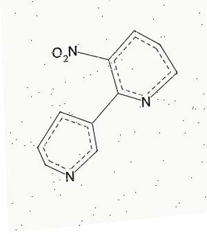 O=[N+]([O-])c1cccnc1-c1cccnc1